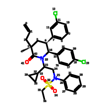 C=CC[C@@]1(C)C[C@H](c2cccc(Cl)c2)[C@@H](c2ccc(Cl)cc2)N(C(CN(c2ccccc2)S(=O)(=O)CC)C2CC2)C1=O